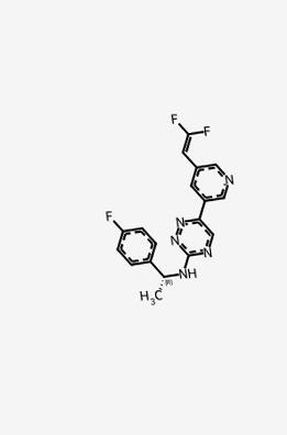 C[C@@H](Nc1ncc(-c2cncc(C=C(F)F)c2)nn1)c1ccc(F)cc1